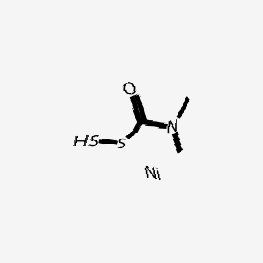 CN(C)C(=O)SS.[Ni]